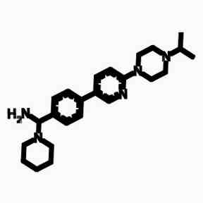 CC(C)N1CCN(c2ccc(-c3ccc(C(N)N4CCCCC4)cc3)cn2)CC1